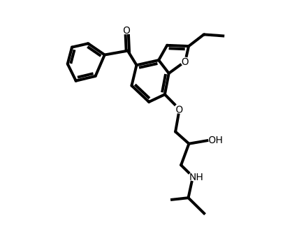 CCc1cc2c(C(=O)c3ccccc3)ccc(OCC(O)CNC(C)C)c2o1